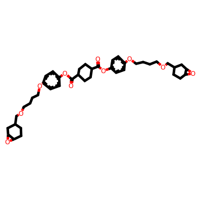 O=C(Oc1ccc(OCCCCOCC2CCC3OC3C2)cc1)C1CCC(C(=O)Oc2ccc(OCCCCOCC3CCC4OC4C3)cc2)CC1